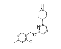 Fc1cc(I)ccc1COc1cccc(C2CCNCC2)n1